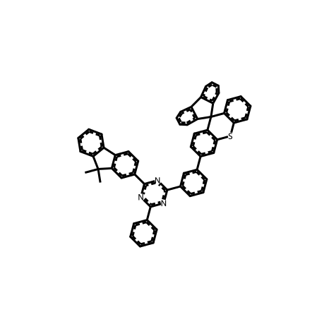 CC1(C)c2ccccc2-c2ccc(-c3nc(-c4ccccc4)nc(-c4cccc(-c5ccc6c(c5)Sc5ccccc5C65c6ccccc6-c6ccccc65)c4)n3)cc21